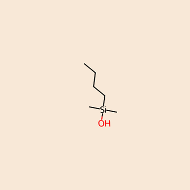 CCCC[Si](C)(C)O